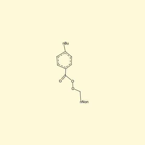 [CH2]CCCCCCCCCOOC(=O)c1ccc(CCCC)cc1